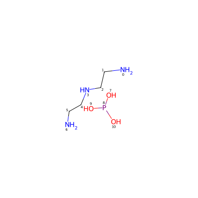 NCCNCCN.OP(O)O